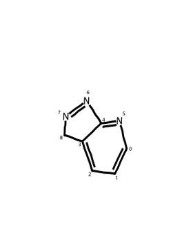 [c]1ccc2c(n1)N=NC2